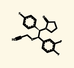 C#CCO[C@H](c1ccc(F)c(F)c1)[C@H](c1ccc(F)cc1)N1CCCC1=O